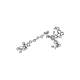 CN(CCOCCOCCOCCOc1ccc2c(c1)C(=O)N(C1CCC(=O)NC1=O)C2=O)C(=O)CCNc1nc(N2CCN(C(N)=O)CC2)c2cc(Cl)c(-c3cc(O)cc4ccccc34)c(F)c2n1